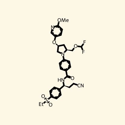 CCS(=O)(=O)c1ccc([C@H](CCC#N)NC(=O)c2ccc(N3C[C@@H](Oc4ccc(OC)nc4)C[C@H]3COC(F)F)cc2)cc1